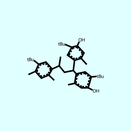 Cc1cc(C)c(C(C)(C)C)cc1C(C)CC(c1cc(C(C)(C)C)c(O)cc1C)c1cc(C(C)(C)C)c(O)cc1C